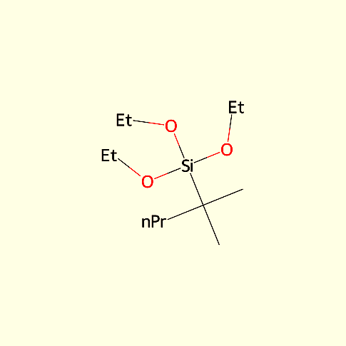 CCCC(C)(C)[Si](OCC)(OCC)OCC